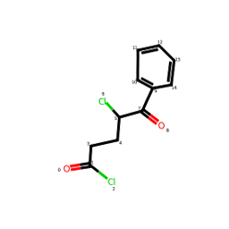 O=C(Cl)CCC(Cl)C(=O)c1ccccc1